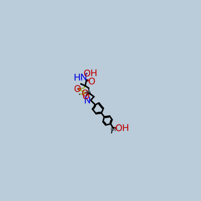 C[C@H](O)c1ccc(-c2ccc(C3=NO[C@@H](CC(C)(C(=O)NO)S(C)(=O)=O)C3)cc2)cc1